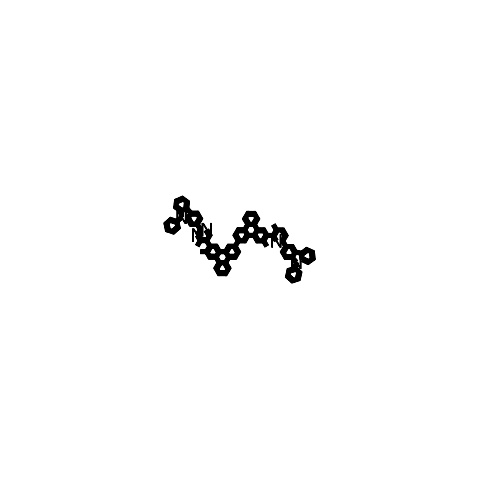 Cc1cc2c3ccccc3c3ccc(-c4ccc5c6ccccc6c6cc(-c7nc(-c8ccc9c(c8)c8ccccc8n9-c8ccccc8)ccc7C)c(C)cc6c5c4)cc3c2cc1-c1cnc(-c2ccc3c4ccccc4n(-c4ccccc4)c3c2)nc1C